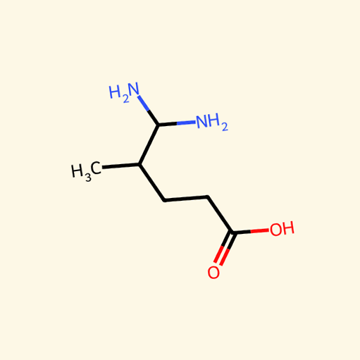 CC(CCC(=O)O)C(N)N